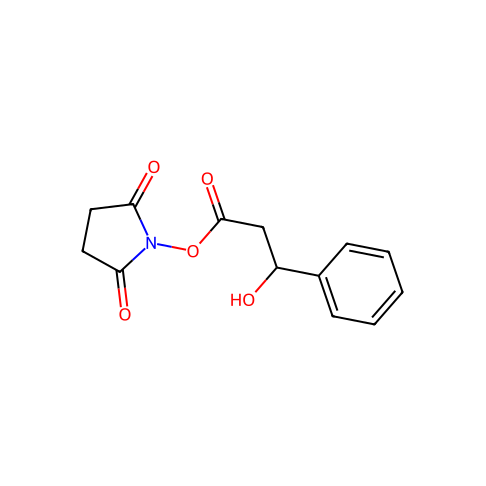 O=C(CC(O)c1ccccc1)ON1C(=O)CCC1=O